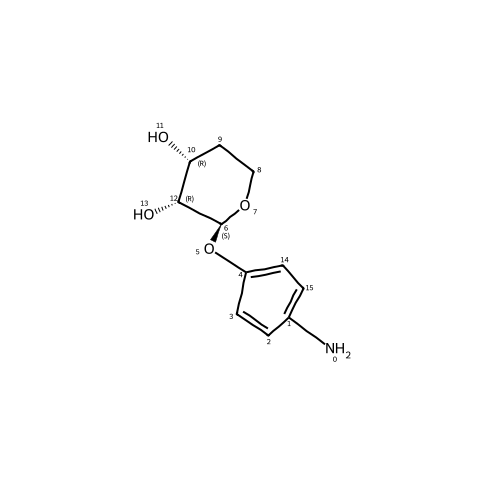 Nc1ccc(O[C@@H]2OCC[C@@H](O)[C@H]2O)cc1